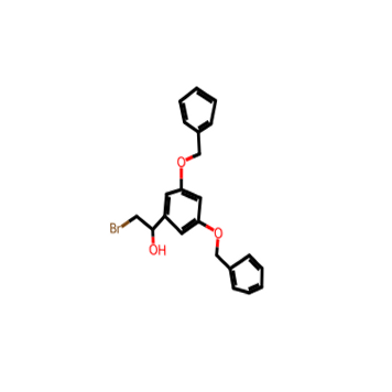 OC(CBr)c1cc(OCc2ccccc2)cc(OCc2ccccc2)c1